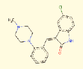 CN1CCN(c2ccccc2C=C2C(=O)Nc3ccc(Cl)cc32)CC1